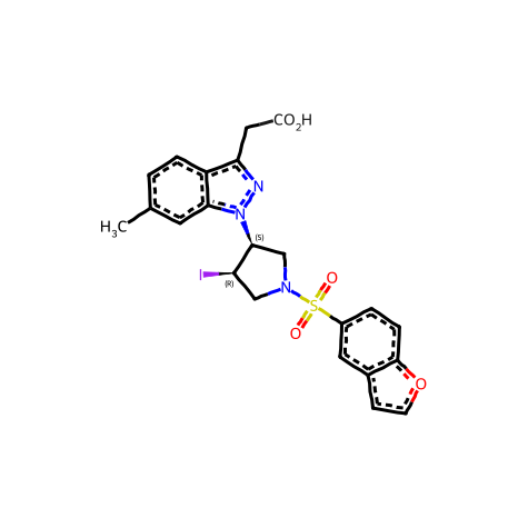 Cc1ccc2c(CC(=O)O)nn([C@H]3CN(S(=O)(=O)c4ccc5occc5c4)C[C@H]3I)c2c1